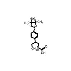 CCC(CNC(=O)O)c1ccc(B2OC(C)(C)C(C)(C)O2)cc1